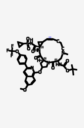 COc1ccc2c(OC3C[C@H]4C(=O)N[C@]5(C(=O)NS(=O)(=O)C6CC6)CC5/C=C\CCCN(C)C[C@H](NC(=O)OC(C)(C)C)C(=O)N4C3)nc(-c3ccc(OC(F)(F)F)cc3)cc2c1